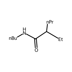 CCCCNC(=O)C(CC)CCC